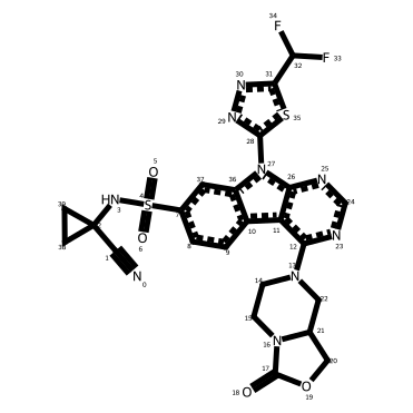 N#CC1(NS(=O)(=O)c2ccc3c4c(N5CCN6C(=O)OCC6C5)ncnc4n(-c4nnc(C(F)F)s4)c3c2)CC1